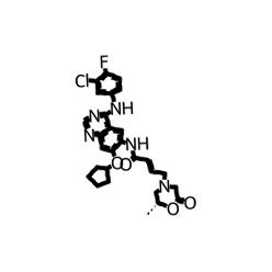 C[C@@H]1CN(CC=CC(=O)Nc2cc3c(Nc4ccc(F)c(Cl)c4)ncnc3cc2OC2CCCC2)CC(=O)O1